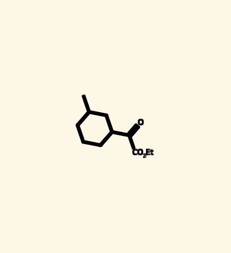 CCOC(=O)C(=O)C1CCCC(C)C1